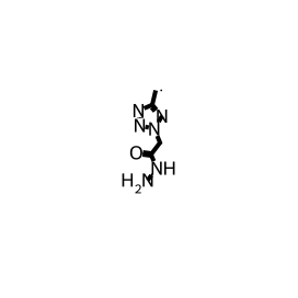 [CH2]c1nnn(CC(=O)NN)n1